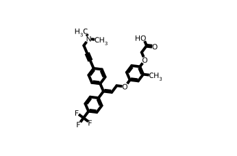 Cc1cc(OC/C=C(\c2ccc(C#CCN(C)C)cc2)c2ccc(C(F)(F)F)cc2)ccc1OCC(=O)O